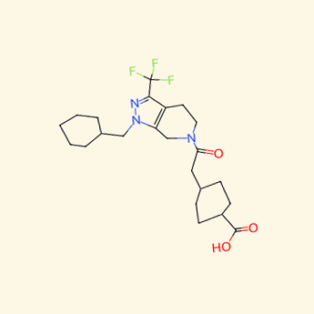 O=C(O)C1CCC(CC(=O)N2CCc3c(C(F)(F)F)nn(CC4CCCCC4)c3C2)CC1